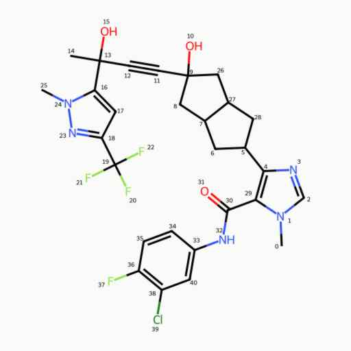 Cn1cnc(C2CC3CC(O)(C#CC(C)(O)c4cc(C(F)(F)F)nn4C)CC3C2)c1C(=O)Nc1ccc(F)c(Cl)c1